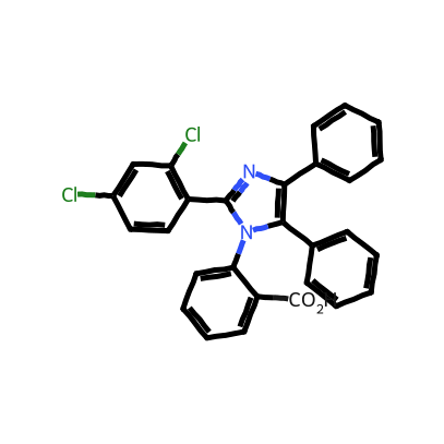 O=C(O)c1ccccc1-n1c(-c2ccc(Cl)cc2Cl)nc(-c2ccccc2)c1-c1ccccc1